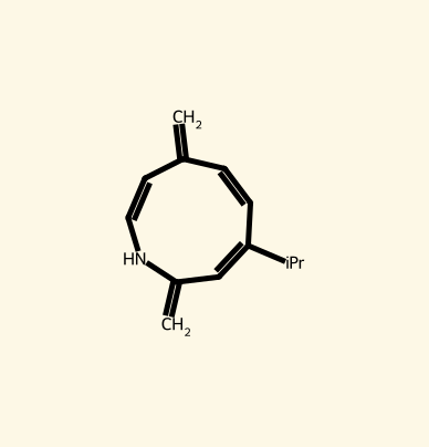 C=c1cc[nH]c(=C)cc(C(C)C)cc1